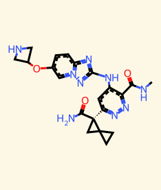 CNC(=O)c1nnc([C@@]2(C(N)=O)CC23CC3)cc1Nc1nc2ccc(OC3CNC3)cn2n1